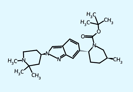 C[C@H]1CC[C@H](c2ccc3cn([C@@H]4CCN(C)C(C)(C)C4)nc3c2)N(C(=O)OC(C)(C)C)C1